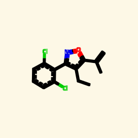 C=C(C)c1onc(-c2c(Cl)cccc2Cl)c1CC